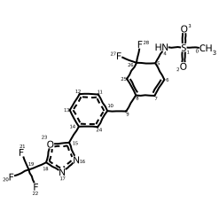 CS(=O)(=O)NC1C=CC(Cc2cccc(-c3nnc(C(F)(F)F)o3)c2)=CC1(F)F